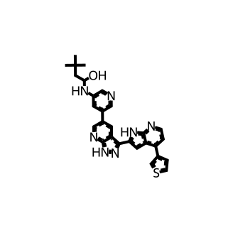 CC(C)(C)CC(O)Nc1cncc(-c2cnc3[nH]nc(-c4cc5c(-c6ccsc6)ccnc5[nH]4)c3c2)c1